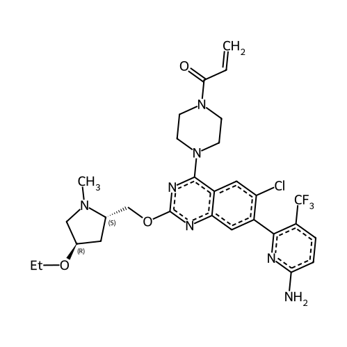 C=CC(=O)N1CCN(c2nc(OC[C@@H]3C[C@@H](OCC)CN3C)nc3cc(-c4nc(N)ccc4C(F)(F)F)c(Cl)cc23)CC1